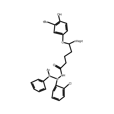 CCCCCCCC(CCCC(=O)NN(c1ccccc1Cl)N(C(C)=O)c1ccccc1)Oc1ccc(O)c(C(C)(C)C)c1